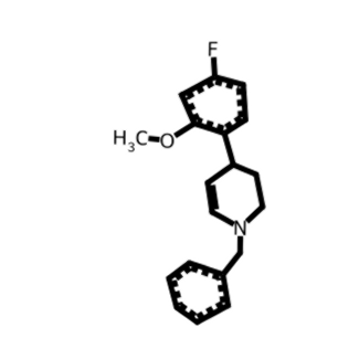 COc1cc(F)ccc1C1C=CN(Cc2ccccc2)CC1